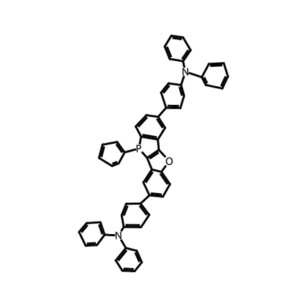 c1ccc(N(c2ccccc2)c2ccc(-c3ccc4c(c3)c3oc5ccc(-c6ccc(N(c7ccccc7)c7ccccc7)cc6)cc5c3p4-c3ccccc3)cc2)cc1